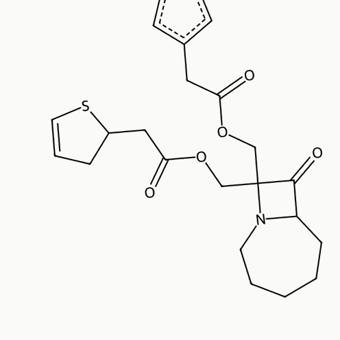 O=C(Cc1ccsc1)OCC1(COC(=O)CC2CC=CS2)C(=O)C2CCCCCN21